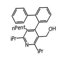 CCCCCc1c(C(C)C)nc(C(C)C)c(CO)c1-c1ccccc1-c1ccccc1